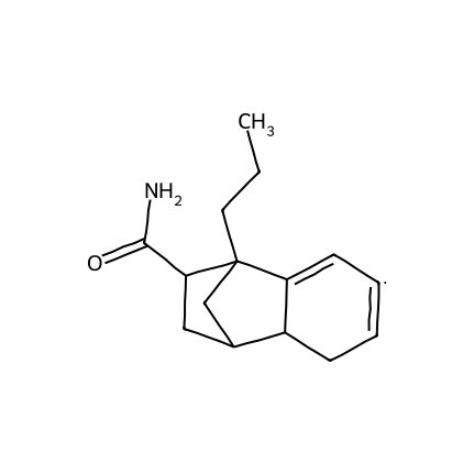 CCCC12CC(CC1C(N)=O)C1CC=[C]C=C12